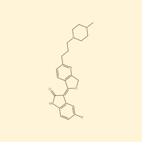 CN1CCN(CCCc2ccc3c(n2)COC3=C2C(=O)Nc3ccc(F)cc32)CC1